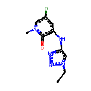 CCn1cc(Nc2cc(Br)cn(C)c2=O)nn1